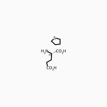 C1CCSC1.N[C@@H](CCC(=O)O)C(=O)O